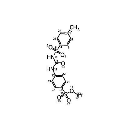 Cc1ccc(S(=O)(=O)NC(=O)Nc2ccc(S(=O)(=O)OC(C)C)cc2)cc1